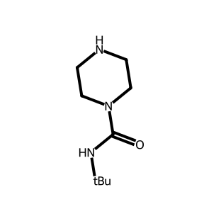 CC(C)(C)NC(=O)N1CCNCC1